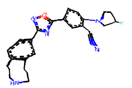 N#Cc1cc(-c2nc(-c3ccc4c(c3)CCNCC4)no2)ccc1N1CCC(F)C1